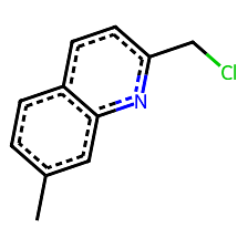 Cc1ccc2ccc(CCl)nc2c1